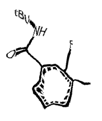 Cc1cccc(C(=O)NC(C)(C)C)c1F